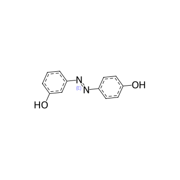 Oc1ccc(/N=N/c2cccc(O)c2)cc1